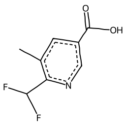 Cc1cc(C(=O)O)cnc1C(F)F